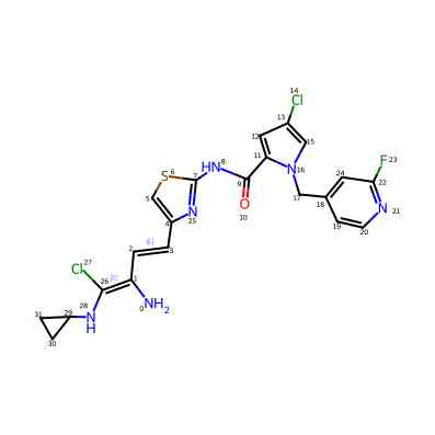 NC(/C=C/c1csc(NC(=O)c2cc(Cl)cn2Cc2ccnc(F)c2)n1)=C(/Cl)NC1CC1